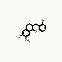 Cc1cc2c(cc1C)C(=O)C(Cc1ccncc1Br)CC2